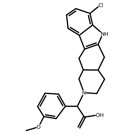 C=C(O)C(c1cccc(OC)c1)N1CCC2Cc3[nH]c4c(Cl)cccc4c3CC2C1